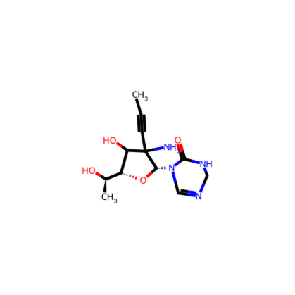 CC#CC1(N)C(O)[C@@H]([C@@H](C)O)O[C@H]1N1C=NCNC1=O